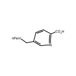 CCCCCCc1ccc(C(=O)O)nc1